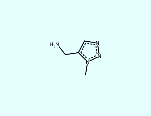 Cn1nncc1CN